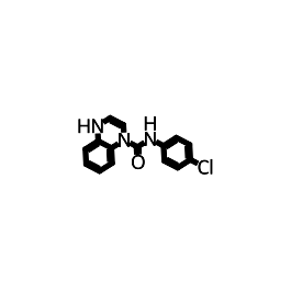 O=C(Nc1ccc(Cl)cc1)N1C=CNc2ccccc21